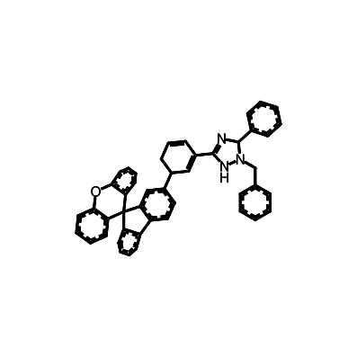 C1=CC(C2=NC(c3ccccc3)N(Cc3ccccc3)N2)=CC(c2ccc3c(c2)C2(c4ccccc4Oc4ccccc42)c2ccccc2-3)C1